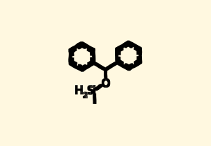 C[SiH2]OC(c1ccccc1)c1ccccc1